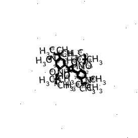 CCC(C)(C)C(=O)Nc1cc2c(cc1C1=C(O)/C(=c3\cc4c(cc3NC(=O)C(C)(C)CC)=[N+](C)C(C)C4(C)C)C1=O)C(C)(C)C(C)N2C